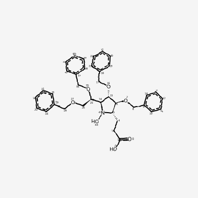 O=C(O)CC[C@H]1[C@H](OCc2ccccc2)[C@@H](OCc2ccccc2)[C@H]([C@@H](COCc2ccccc2)OCc2ccccc2)N1O